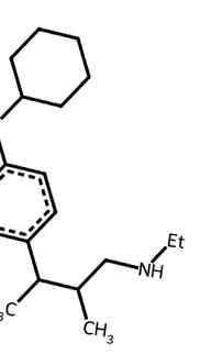 CCNCC(C)C(C)c1ccc(SC2CCCCC2)cc1